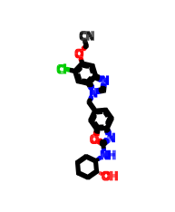 N#CCOc1cc2ncn(Cc3ccc4nc(N[C@@H]5CCCC[C@H]5O)oc4c3)c2cc1Cl